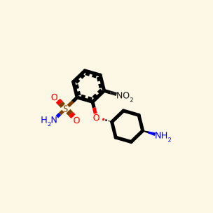 NS(=O)(=O)c1cccc([N+](=O)[O-])c1O[C@H]1CC[C@H](N)CC1